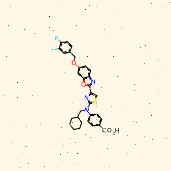 O=C(O)c1ccc(N(CC2CCCCC2)c2nc(-c3nc4ccc(OCc5ccc(F)c(F)c5)cc4o3)cs2)cc1